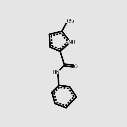 CC(C)(C)c1ccc(C(=O)Nc2ccccc2)[nH]1